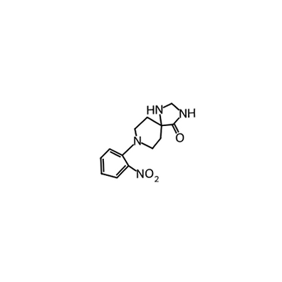 O=C1NCNC12CCN(c1ccccc1[N+](=O)[O-])CC2